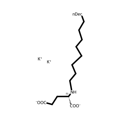 CCCCCCCCCCCCCCCCCCN[C@@H](CCC(=O)[O-])C(=O)[O-].[K+].[K+]